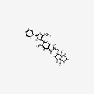 Cc1nc(-c2ccccc2)sc1-c1nc2nc(OC3CO[C@@H]4CCO[C@H]34)[nH]c2cc1Cl